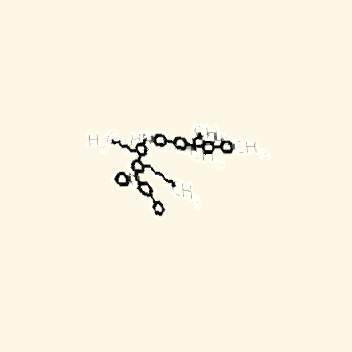 CCCCCCc1cc(Nc2ccc(-c3ccc(C(C)(CC(C)C)c4ccc(-c5ccc(C)cc5)cc4)cc3)cc2)ccc1-c1ccc(N(c2ccccc2)c2ccc(-c3ccccc3)cc2)cc1CCCCCC